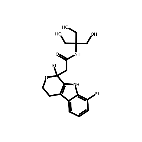 CCc1cccc2c3c([nH]c12)C(CC)(CC(=O)NC(CO)(CO)CO)OCC3